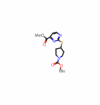 COC(=O)c1ccnc(SC2CCN(C(=O)OC(C)(C)C)CC2)n1